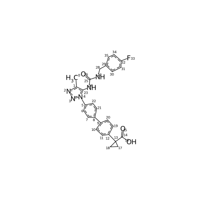 Cc1nnn(-c2ccc(-c3ccc(C4(C(=O)O)CC4)cc3)cc2)c1NC(=O)NCc1ccc(F)cc1